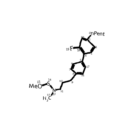 CCCCCc1ccc(-c2ccc(CCCN(C)SOC)cc2)c(F)c1